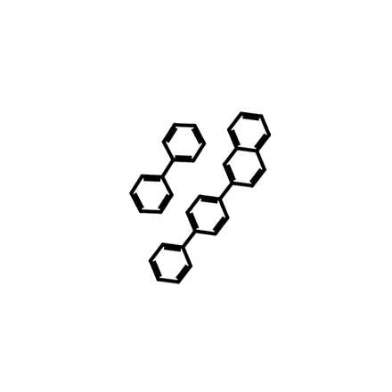 c1ccc(-c2ccc(-c3ccc4ccccc4c3)cc2)cc1.c1ccc(-c2ccccc2)cc1